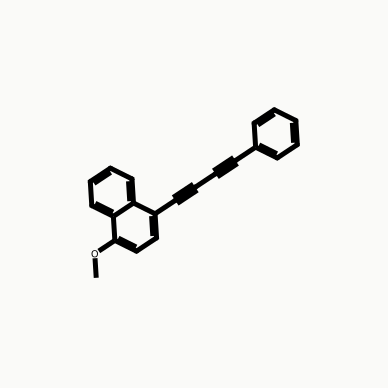 COc1ccc(C#CC#Cc2ccccc2)c2ccccc12